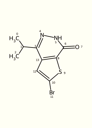 CC(C)c1n[nH]c(=O)c2sc(Br)cc12